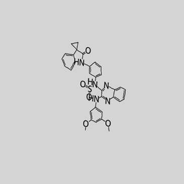 COc1cc(Nc2nc3ccccc3nc2N(c2cccc(NC(=O)C3(c4ccccc4)CC3)c2)[SH](=O)=O)cc(OC)c1